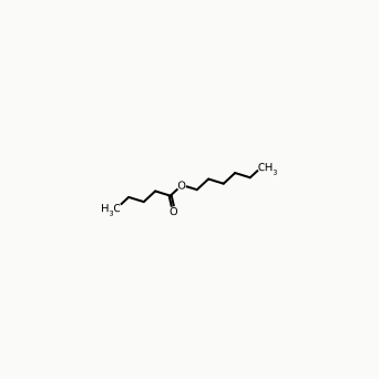 CCCCCCOC(=O)CCCC